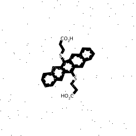 O=C(O)CCSc1c2cc3ccccc3cc2c(SCCC(=O)O)c2cc3ccccc3cc12